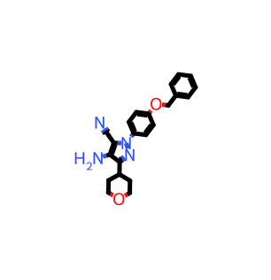 N#Cc1c(N)c(C2CCOCC2)nn1-c1ccc(OCc2ccccc2)cc1